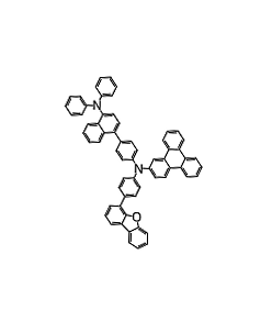 c1ccc(N(c2ccccc2)c2ccc(-c3ccc(N(c4ccc(-c5cccc6c5oc5ccccc56)cc4)c4ccc5c6ccccc6c6ccccc6c5c4)cc3)c3ccccc23)cc1